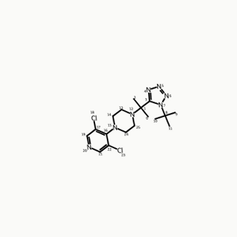 CC(C)(c1nnnn1C(C)(C)C)N1CCN(c2c(Cl)cncc2Cl)CC1